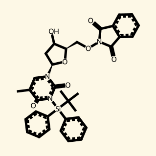 Cc1cn([C@H]2CC(O)[C@@H](CON3C(=O)c4ccccc4C3=O)O2)c(=O)n([Si](c2ccccc2)(c2ccccc2)C(C)(C)C)c1=O